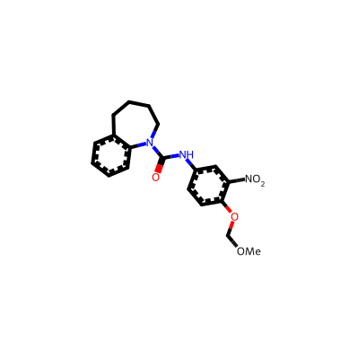 COCOc1ccc(NC(=O)N2CCCCc3ccccc32)cc1[N+](=O)[O-]